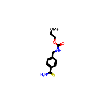 COCCOC(=O)NCc1ccc(C(N)=S)cc1